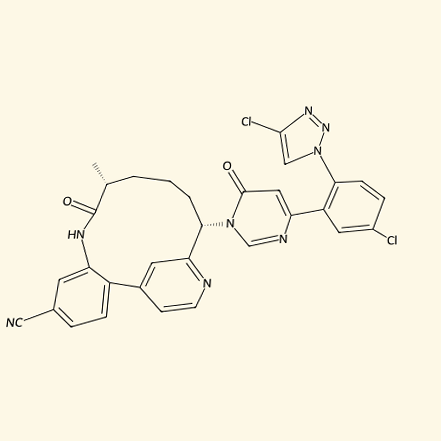 C[C@@H]1CCC[C@H](n2cnc(-c3cc(Cl)ccc3-n3cc(Cl)nn3)cc2=O)c2cc(ccn2)-c2ccc(C#N)cc2NC1=O